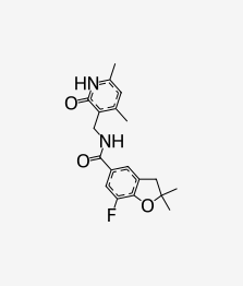 Cc1cc(C)c(CNC(=O)c2cc(F)c3c(c2)CC(C)(C)O3)c(=O)[nH]1